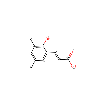 Cc1cc(C)c(O)c(C=CC(=O)O)c1